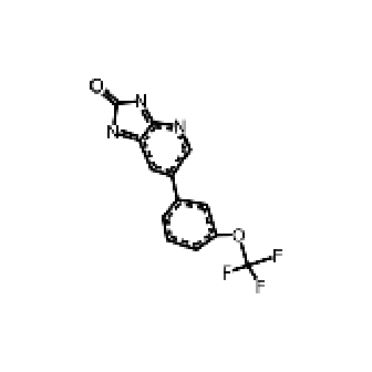 O=C1N=c2cc(-c3cccc(OC(F)(F)F)c3)cnc2=N1